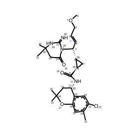 COC/C=C/C([C@@H]1C[C@H]1C(=O)N[C@H]1CC(C)(C)Oc2cc(C)c(Cl)cc21)N1C(=N)NC(C)(C)CC1=O